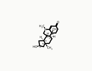 CN1C[C@H]2[C@@H]3C[C@H](O)C[C@@]3(C)CC[C@@H]2[C@@]2(C)CCC(=O)C=C12